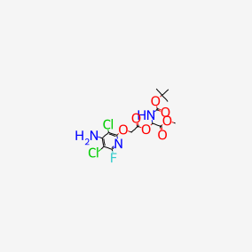 COC(=O)C(NC(=O)OC(C)(C)C)OC(=O)COc1nc(F)c(Cl)c(N)c1Cl